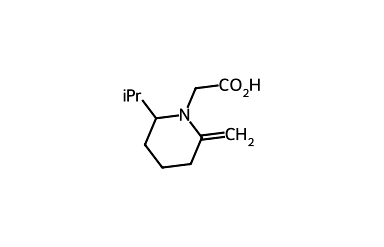 C=C1CCCC(C(C)C)N1CC(=O)O